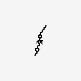 CCCCCCCc1ccc(-c2cnc(CCC3CCC(CCC)CC3)nc2C)cc1